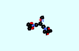 c1ccc2c(c1)-c1ccccc1C21c2ccccc2N(c2ccc(-c3cc(-c4ccc(N5c6ccccc6C6(c7ccccc7-c7ccccc76)c6ccccc65)cc4)cc(-c4nc5ccccc5o4)c3)cc2)c2ccccc21